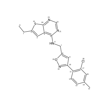 CCc1cc2c(NCc3cc(-c4ccc(C)cc4Cl)no3)ncnc2s1